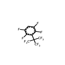 Fc1[c]c(F)c(F)c(C(C(F)(F)F)(C(F)(F)F)C(F)(F)F)c1F